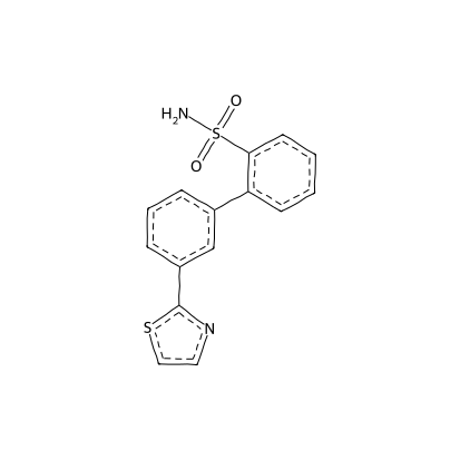 NS(=O)(=O)c1ccccc1-c1cccc(-c2nccs2)c1